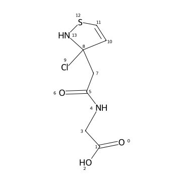 O=C(O)CNC(=O)CC1(Cl)C=CSN1